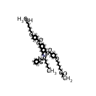 C=CC(=O)OCCCCCCOC1C=CC(C(=O)Oc2cc3ccc(OC(=O)c4ccc(OCCCCCCBC)cc4)cc3cc2/C=N/N(CCCCCC)c2nc3ccccc3s2)=CC1